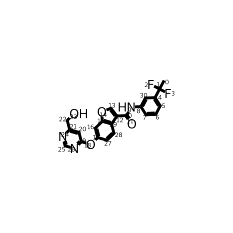 CC(F)(F)c1cccc(NC(=O)c2coc3cc(Oc4cc(CO)ncn4)ccc23)c1